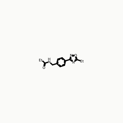 CCC(=O)NCc1ccc(-c2noc(CC)n2)cc1